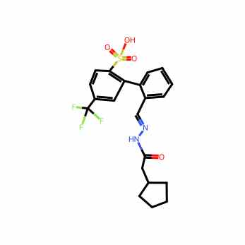 O=C(CC1CCCC1)N/N=C/c1ccccc1-c1cc(C(F)(F)F)ccc1S(=O)(=O)O